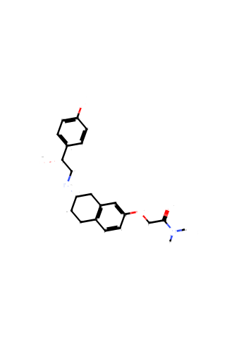 CN(C)C(=O)COc1ccc2c(c1)C[C@@H](NC[C@H](O)c1ccc(O)cc1)CC2